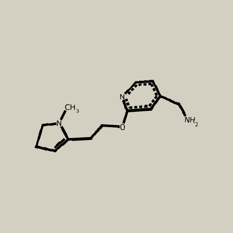 CN1CCC=C1CCOc1cc(CN)ccn1